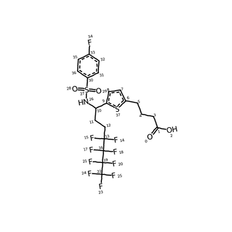 O=C(O)CCCc1ccc(C(CCC(F)(F)C(F)(F)C(F)(F)C(F)(F)F)NS(=O)(=O)c2ccc(F)cc2)s1